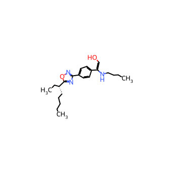 CCCCC[C@H](CC)c1nc(-c2ccc(/C(=C\O)NCCCC)cc2)no1